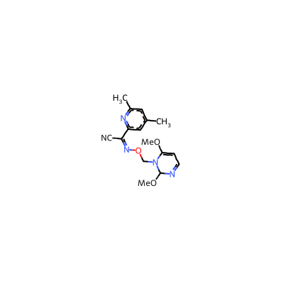 COC1=CC=NC(OC)N1CON=C(C#N)c1cc(C)cc(C)n1